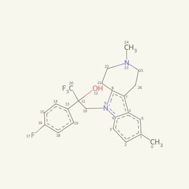 Cc1ccc2c(c1)c1c(n2CC(O)(c2ccc(F)cc2)C(F)(F)F)CCN(C)CC1